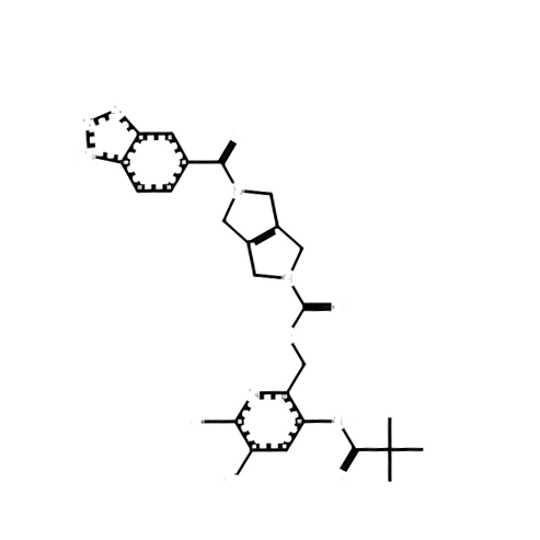 CC(C)(C)C(=O)Nc1cc(Cl)c(Cl)nc1COC(=O)N1CC2=C(C1)CN(C(=O)c1ccc3[nH]nnc3c1)C2